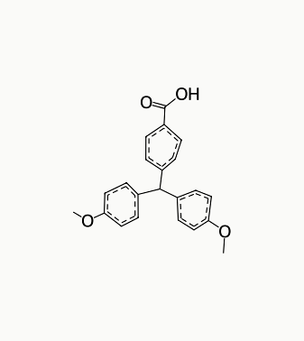 COc1ccc(C(c2ccc(OC)cc2)c2ccc(C(=O)O)cc2)cc1